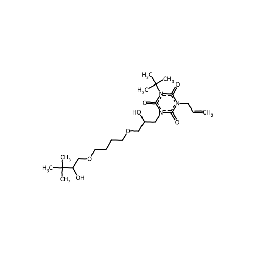 C=CCn1c(=O)n(CC(O)COCCCCOCC(O)C(C)(C)C)c(=O)n(C(C)(C)C)c1=O